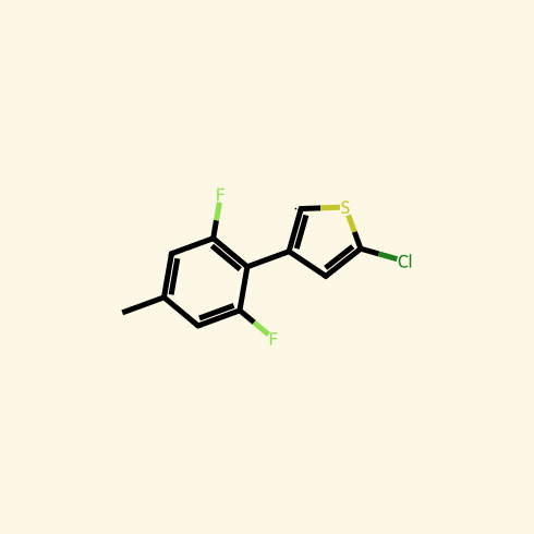 Cc1cc(F)c(-c2[c]sc(Cl)c2)c(F)c1